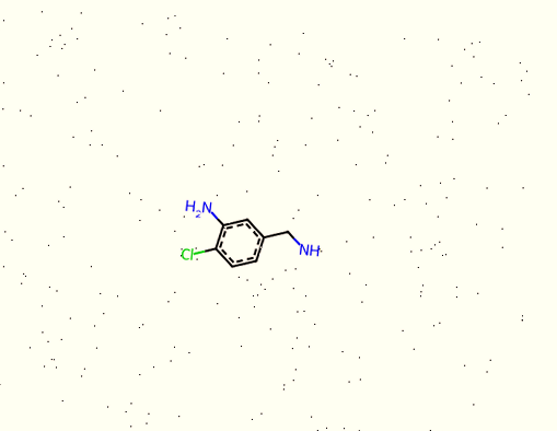 [NH]Cc1ccc(Cl)c(N)c1